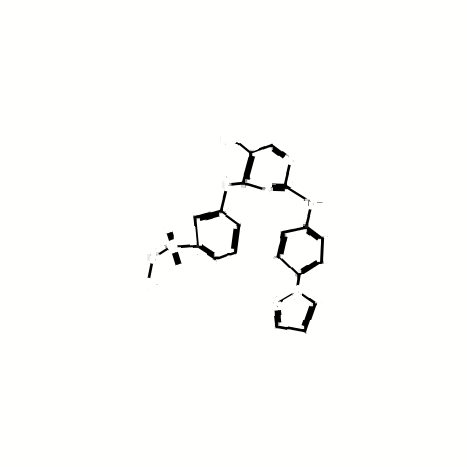 Cc1cnc(Nc2ccc(-n3cccn3)cc2)nc1Nc1cccc(S(=O)(=O)NC(C)(C)C)c1